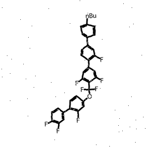 CCCCc1ccc(-c2ccc(-c3cc(F)c(C(F)(F)Oc4ccc(-c5ccc(F)c(F)c5)c(F)c4)c(F)c3)c(F)c2)cc1